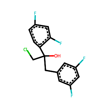 OC(CCl)(Cc1cc(F)cc(F)c1)c1ccc(F)cc1F